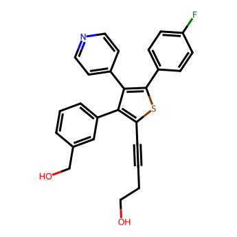 OCCC#Cc1sc(-c2ccc(F)cc2)c(-c2ccncc2)c1-c1cccc(CO)c1